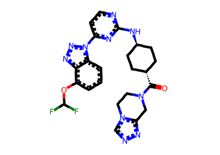 O=C([C@H]1CC[C@H](Nc2nccc(-n3nnc4c(OC(F)F)cccc43)n2)CC1)N1CCn2cnnc2C1